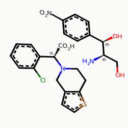 N[C@H](CO)[C@H](O)c1ccc([N+](=O)[O-])cc1.O=C(O)[C@H](c1ccccc1Cl)N1CCc2sccc2C1